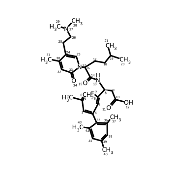 C=C(C)/C=C(\C=C(/F)[C@H](CC(=O)O)NC(=O)C(CCC(C)C)n1cc(CCN(C)C)c(C)cc1=O)c1c(C)cc(C)cc1C